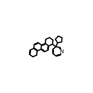 C1=CN=CC(C2CCCC2)(C2CCCc3c2ccc2c4c(ccc32)C=CCC4)C=C1